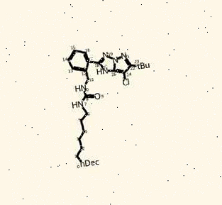 CCCCCCCCCCCCCCCCNC(=O)NCc1ccccc1-c1nn2nc(C(C)(C)C)c(Cl)c2[nH]1